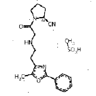 CS(=O)(=O)O.Cc1oc(-c2ccccc2)nc1CCNCC(=O)N1CCC[C@H]1C#N